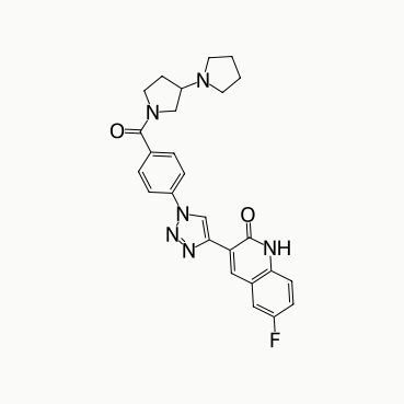 O=C(c1ccc(-n2cc(-c3cc4cc(F)ccc4[nH]c3=O)nn2)cc1)N1CCC(N2CCCC2)C1